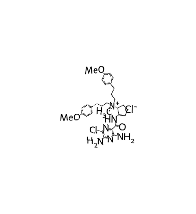 COc1ccc(CCC[N+](C)(CCCc2ccc(OC)cc2)[C@@H]2CCC[C@@H]2NC(=O)c2nc(Cl)c(N)nc2N)cc1.[Cl-]